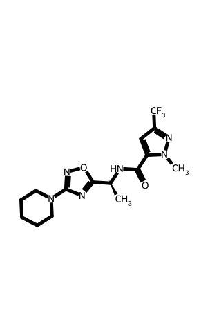 C[C@H](NC(=O)c1cc(C(F)(F)F)nn1C)c1nc(N2CCCCC2)no1